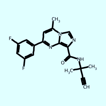 C#CC(C)(C)NC(=O)c1ncn2c(C)cc(-c3cc(F)cc(F)c3)nc12